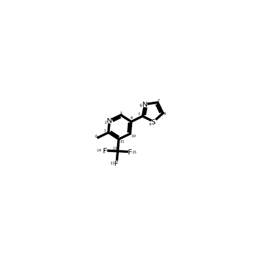 Cc1ncc(-c2nccs2)cc1C(F)(F)F